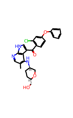 Cc1cnc2[nH]cc(C(=O)c3ccc(Oc4ccccc4)cc3Cl)c2c1N[C@@H]1CC[C@@H](CO)OC1